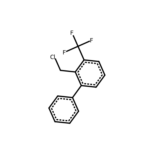 FC(F)(F)c1cccc(-c2ccccc2)c1CCl